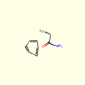 C=CC(N)=O.c1ccccc1